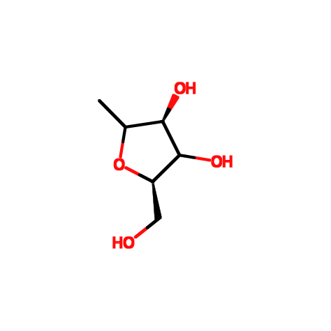 CC1O[C@H](CO)C(O)[C@@H]1O